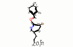 CCOC(=O)CCc1cnc(OCc2ccc(C(F)(F)F)cc2)c(Br)c1